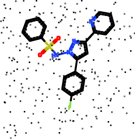 O=S(=O)(Nn1nc(-c2ccccn2)cc1-c1ccc(F)cc1)c1ccccc1